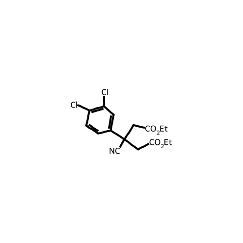 CCOC(=O)CC(C#N)(CC(=O)OCC)c1ccc(Cl)c(Cl)c1